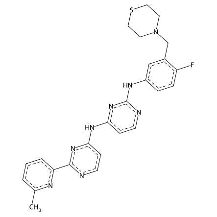 Cc1cccc(-c2nccc(Nc3ccnc(Nc4ccc(F)c(CN5CCSCC5)c4)n3)n2)n1